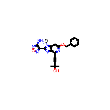 CCn1c(-c2nonc2N)nc2c(C#CC(C)(C)O)nc(OCc3ccccc3)cc21